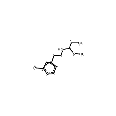 COC(OC)[SiH2]CCc1cccc(N)c1